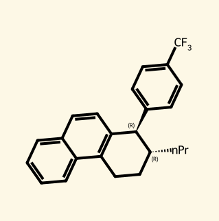 CCC[C@@H]1CCc2c(ccc3ccccc23)[C@H]1c1ccc(C(F)(F)F)cc1